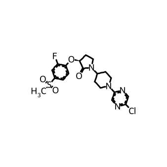 CS(=O)(=O)c1ccc(O[C@H]2CCN(C3CCN(c4cnc(Cl)cn4)CC3)C2=O)c(F)c1